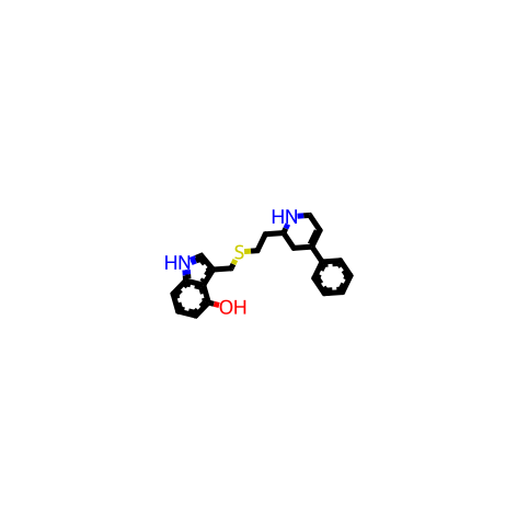 Oc1cccc2[nH]cc(CSCCC3CC(c4ccccc4)=CCN3)c12